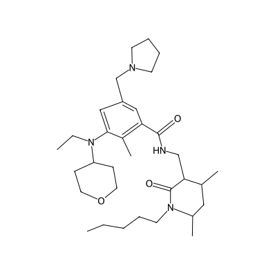 CCCCCN1C(=O)C(CNC(=O)c2cc(CN3CCCC3)cc(N(CC)C3CCOCC3)c2C)C(C)CC1C